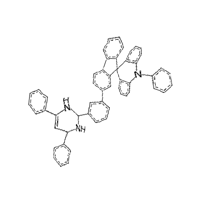 C1=C(c2ccccc2)NC(c2cccc(-c3ccc4c(c3)C3(c5ccccc5-4)c4ccccc4N(c4ccccc4)c4ccccc43)c2)NC1c1ccccc1